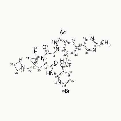 CC(=O)c1nn(CC(=O)N2[C@H](C(=O)Nc3nc(Br)ccc3C)C[C@@]3(CN4CCC4)C[C@@H]23)c2c(CF)cc(-c3cnc(C)nc3)cc12